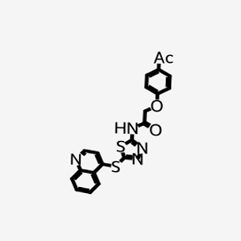 CC(=O)c1ccc(OCC(=O)Nc2nnc(Sc3ccnc4ccccc34)s2)cc1